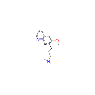 COc1cc2cccnc2cc1CCCN(C)C